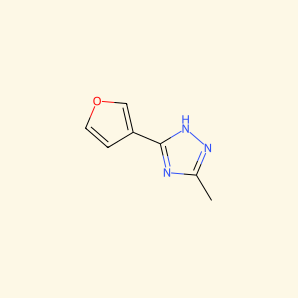 Cc1n[nH]c(-c2ccoc2)n1